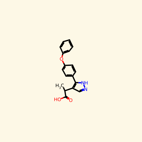 CC(C(=O)O)c1cn[nH]c1-c1ccc(Oc2ccccc2)cc1